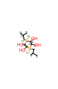 CC(C)CP1(=S)C(O)C(O)P(=S)(CC(C)C)C(O)C1O